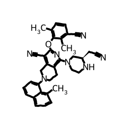 Cc1ccc(C#N)c(C)c1Oc1nc(N2CCN[C@H](CC#N)C2)c2c(c1C#N)CN(c1cccc3cccc(C)c13)CC2